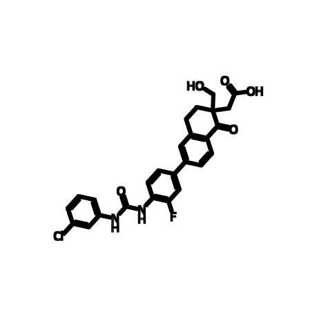 O=C(O)CC1(CO)CCc2cc(-c3ccc(NC(=O)Nc4cccc(Cl)c4)c(F)c3)ccc2C1=O